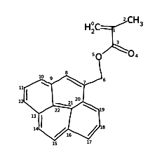 C=C(C)C(=O)OCc1cc2cccc3ccc4cccc1c4c32